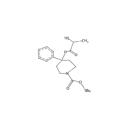 CC(S)C(=O)OC1(c2ccccc2)CCN(C(=O)OC(C)(C)C)CC1